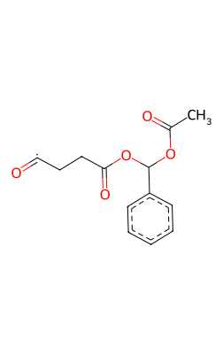 CC(=O)OC(OC(=O)CC[C]=O)c1ccccc1